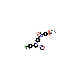 CCS(=O)(=O)c1ccc([C@H](CO)NC(=O)c2ccc(N3CC(c4ccc(C(F)(F)F)cc4)CC[C@H]3CN3CCCOC3)cc2)cc1